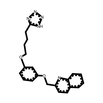 c1cc(OCCCCc2nnn[nH]2)cc(OCc2ccc3ccccc3n2)c1